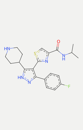 CC(C)NC(=O)c1csc(-c2c(-c3ccc(F)cc3)n[nH]c2C2CCNCC2)n1